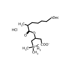 CCCCCCCCCCCCCCC(C)C(=O)OC(CC(=O)[O-])C[N+](C)(C)C.Cl